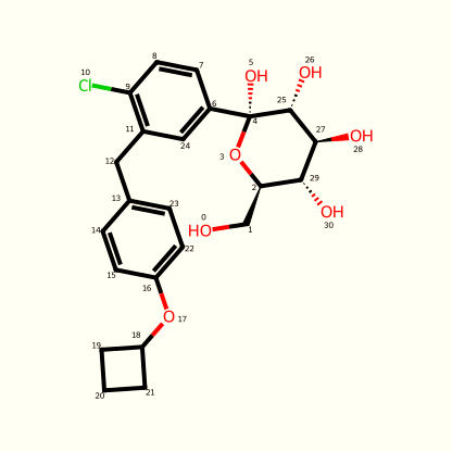 OC[C@H]1O[C@@](O)(c2ccc(Cl)c(Cc3ccc(OC4CCC4)cc3)c2)[C@H](O)[C@@H](O)[C@@H]1O